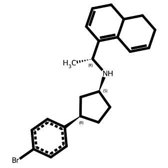 C[C@@H](N[C@H]1CC[C@@H](c2ccc(Br)cc2)C1)C1=C2C=CCCC2CC=C1